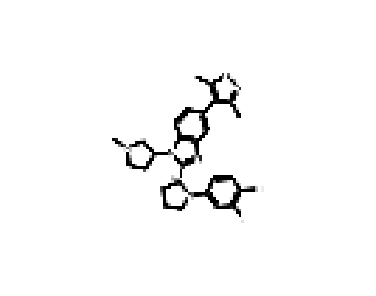 Cc1noc(C)c1-c1ccc2c(c1)nc([C@@H]1CCCN1c1ccc(Cl)c(Cl)c1)n2C1CCN(C)C1